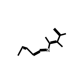 C=C(C)/C(C)=C(\C)N=C=C/C=C\C